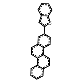 c1ccc2sc(-c3ccc4c(ccc5c6ccccc6ccc45)c3)cc2c1